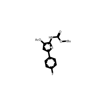 CC(=O)Oc1cc(-c2ccc(F)cc2)sc1NC(=O)OC(C)(C)C